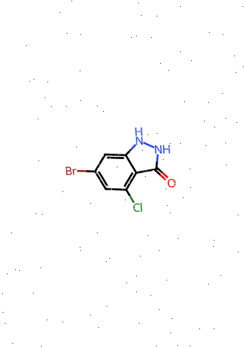 O=c1[nH][nH]c2cc(Br)cc(Cl)c12